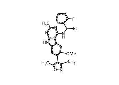 CCC(Nc1nc(C)nc2[nH]c3cc(-c4c(C)noc4C)c(OC)cc3c12)c1ccccc1F